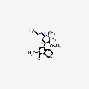 C=C/C=C(\C=C(/C(=C)OC)c1cn(C)c(=O)c2cnccc12)OC